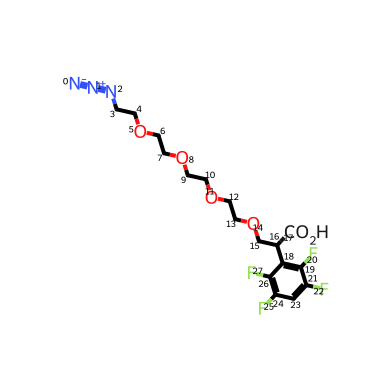 [N-]=[N+]=NCCOCCOCCOCCOCC(C(=O)O)c1c(F)c(F)cc(F)c1F